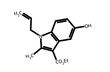 C=CCn1c(C)c(C(=O)OCC)c2cc(O)ccc21